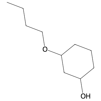 CCCCOC1CCCC(O)C1